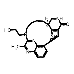 Cc1nc2cccc3c2nc1N(CCO)CCCC[C@H]1CNC(=O)c2cc-3[nH]c21